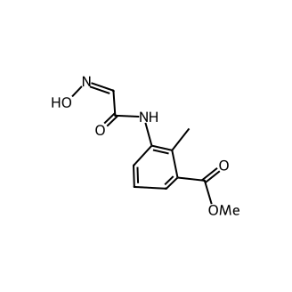 COC(=O)c1cccc(NC(=O)/C=N\O)c1C